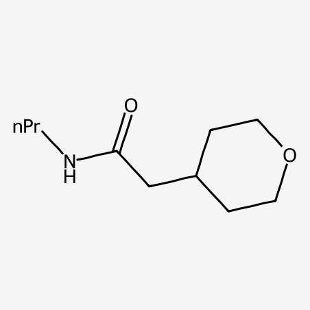 CCCNC(=O)CC1CCOCC1